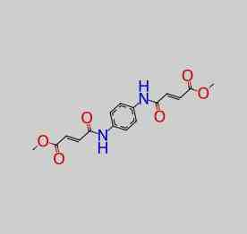 COC(=O)/C=C/C(=O)Nc1ccc(NC(=O)/C=C/C(=O)OC)cc1